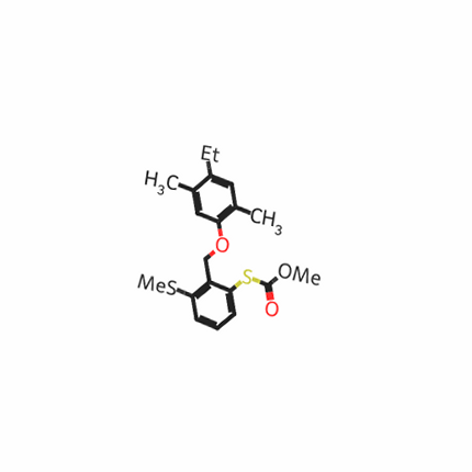 CCc1cc(C)c(OCc2c(SC)cccc2SC(=O)OC)cc1C